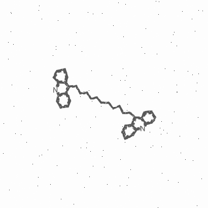 c1ccc2c(CCCCCCCCCCCc3c4ccccc4nc4ccccc34)c3ccccc3nc2c1